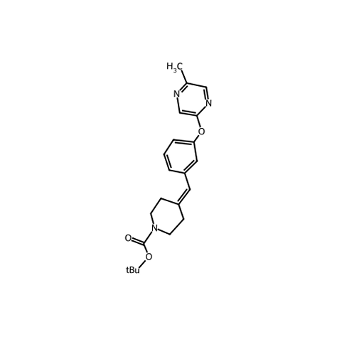 Cc1cnc(Oc2cccc(C=C3CCN(C(=O)OC(C)(C)C)CC3)c2)cn1